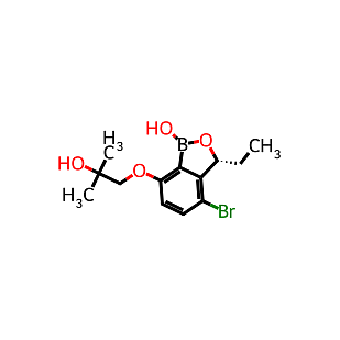 CC[C@H]1OB(O)c2c(OCC(C)(C)O)ccc(Br)c21